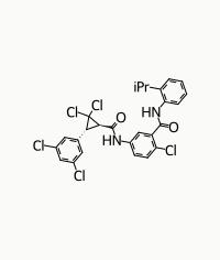 CC(C)c1ccccc1NC(=O)c1cc(NC(=O)[C@H]2[C@H](c3cc(Cl)cc(Cl)c3)C2(Cl)Cl)ccc1Cl